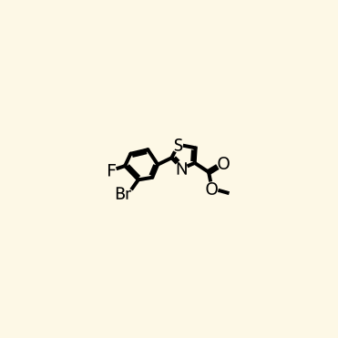 COC(=O)c1csc(-c2ccc(F)c(Br)c2)n1